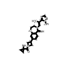 C/C(=C\N1CCOc2cc(C3CN(C(=O)C4(N)CC4)C3)ccc2C1=N)c1ncnn1C(C)C